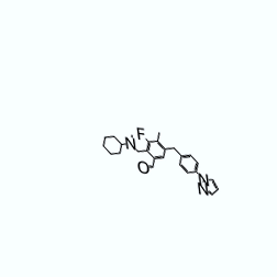 Cc1c(Cc2ccc(-n3cccn3)cc2)cc(C=O)c(CN(C)C2CCCCC2)c1F